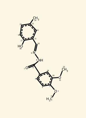 COc1ccc(C(=O)NN=Cc2cc(C)ccc2O)cc1OC